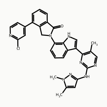 Cc1cnc(Nc2cc(C)n(C)n2)nc1-c1c[nH]c2c(N3Cc4c(cccc4-c4ccnc(Cl)c4)C3=O)cccc12